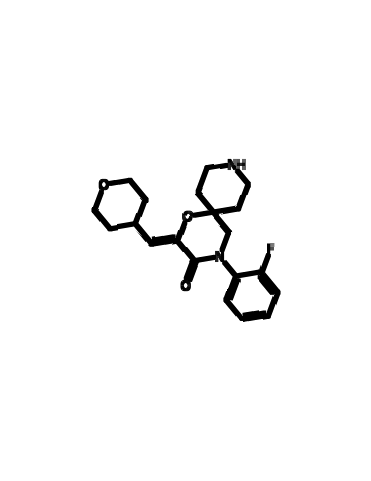 O=C1C(=CC2CCOCC2)OC2(CCNCC2)CN1c1ccccc1F